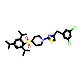 CC(C)c1cc(C(C)C)c(S(=O)(=O)C2CCN(c3nc(Cc4cc(Cl)cc(Cl)c4)cs3)CC2)c(C(C)C)c1